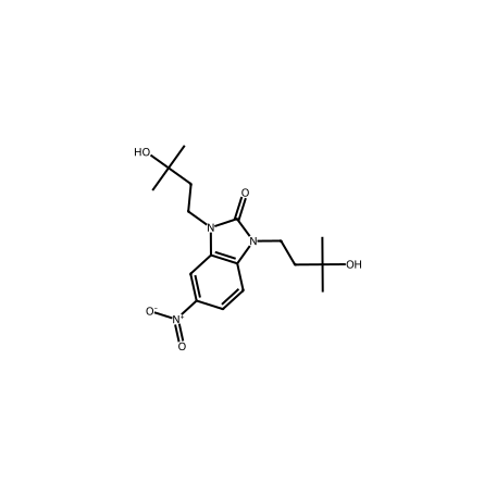 CC(C)(O)CCn1c(=O)n(CCC(C)(C)O)c2cc([N+](=O)[O-])ccc21